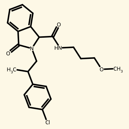 COCCCNC(=O)C1c2ccccc2C(=O)N1CC(C)c1ccc(Cl)cc1